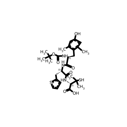 Cc1cc(O)cc(C)c1C[C@H](NC(=O)OC(C)(C)C)C(=O)N[C@@H](Cc1cccs1)C(=O)N[C@@H](C(=O)O)C(C)(C)S